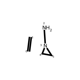 C=C.NN1CC1